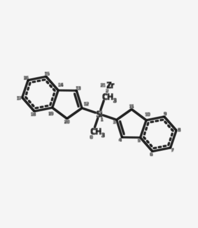 C[Si](C)(C1=Cc2ccccc2C1)C1=Cc2ccccc2C1.[Zr]